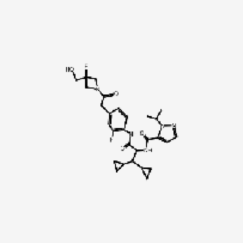 CC(C)n1nccc1C(=O)NC(C(=O)Nc1ccc(CC(=O)N2CC(F)(CO)C2)cc1F)C(C1CC1)C1CC1